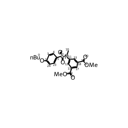 CCCCOc1ccc(S(=O)(=O)N(C)c2cc(C(=O)OC)cc(C(=O)OC)c2)cc1